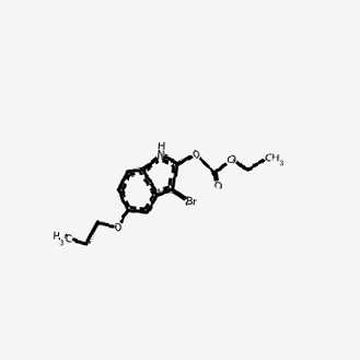 CCCOc1ccc2[nH]c(OC(=O)OCC)c(Br)c2c1